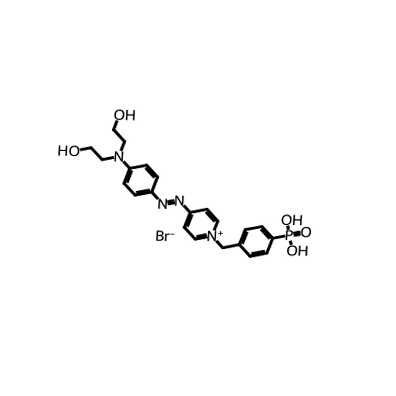 O=P(O)(O)c1ccc(C[n+]2ccc(/N=N/c3ccc(N(CCO)CCO)cc3)cc2)cc1.[Br-]